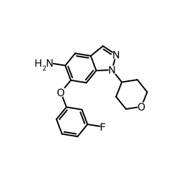 Nc1cc2cnn(C3CCOCC3)c2cc1Oc1cccc(F)c1